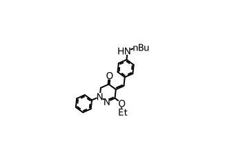 CCCCNc1ccc(/C=C2\C(=O)CN(c3ccccc3)N=C2OCC)cc1